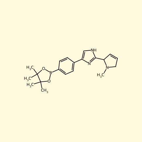 CN1CC=CC1c1nc(-c2ccc(B3OC(C)(C)C(C)(C)O3)cc2)c[nH]1